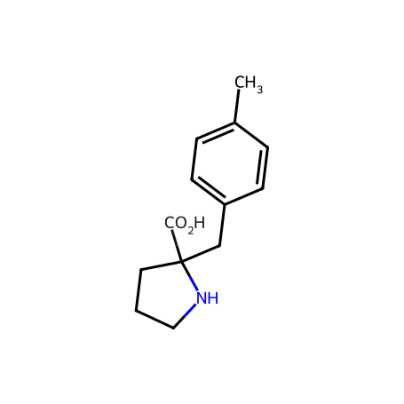 Cc1ccc(CC2(C(=O)O)CCCN2)cc1